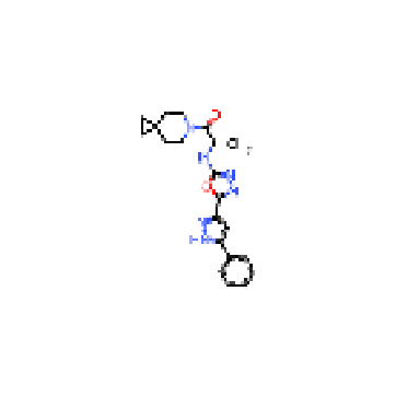 C[C@H](Nc1nnc(-c2cc(-c3ccccc3)[nH]n2)o1)C(=O)N1CCC2(CC1)CC2